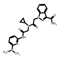 CN(C)c1cccc(NC(=O)CN(C(=O)Cn2nc(C(N)=O)c3ccccc32)C2CC2)n1